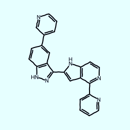 c1ccc(-c2nccc3[nH]c(-c4n[nH]c5ccc(-c6cccnc6)cc45)cc23)nc1